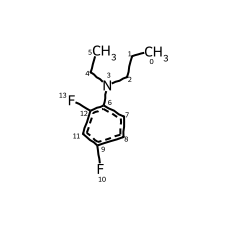 CCCN(CC)c1ccc(F)cc1F